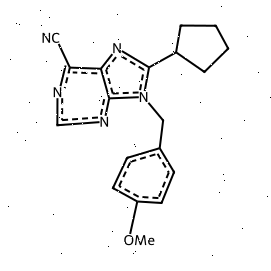 COc1ccc(Cn2c(C3CCCC3)nc3c(C#N)ncnc32)cc1